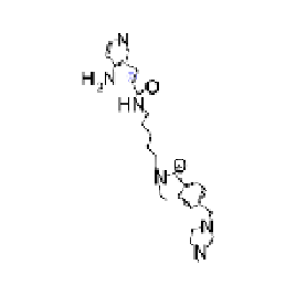 CCN(CCCCCCNC(=O)/C=C/c1cnccc1N)C(=O)c1ccc(CN2CCN(C)CC2)cc1